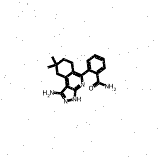 CC1(C)CCc2c(-c3ccccc3C(N)=O)nc3[nH]nc(N)c3c2C1